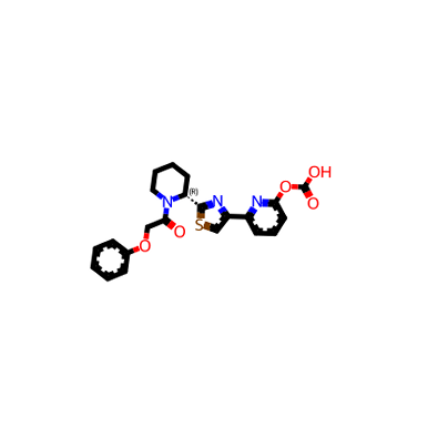 O=C(O)Oc1cccc(-c2csc([C@H]3CCCCN3C(=O)COc3ccccc3)n2)n1